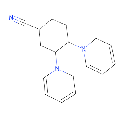 N#CC1CCC(N2C=CC=CC2)C(N2C=CC=CC2)C1